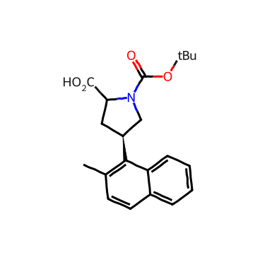 Cc1ccc2ccccc2c1[C@H]1CC(C(=O)O)N(C(=O)OC(C)(C)C)C1